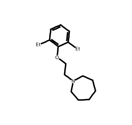 CCc1cccc(CC)c1OCCN1CCCCCC1